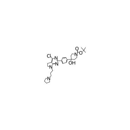 CC(C)(C)OC(=O)N1CCC(O)(c2ccc(-c3nc(Cl)c4c(n3)N(CCCN3CCCC3)CC4)cc2)CC1